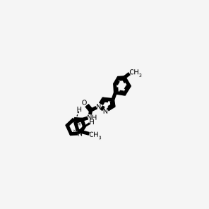 Cc1ccc(-c2cnn(C(=O)N[C@@H]3C4CCN(CC4)[C@H]3C)c2)cc1